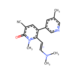 Cc1cncc(-c2cc(C#N)c(=O)n(C)c2/C=C/N(C)C)c1